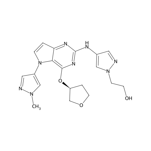 Cn1cc(-n2ccc3nc(Nc4cnn(CCO)c4)nc(O[C@H]4CCOC4)c32)cn1